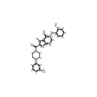 Cc1c(C(=O)N2CCN(c3cccc(Cl)c3)CC2)sc2ncn(Cc3ccccc3F)c(=O)c12